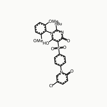 CCCCc1nc(=O)c(S(=O)(=O)c2ccc(-n3cc(Cl)ccc3=O)cc2)c(O)n1-c1c(OC)cccc1OC